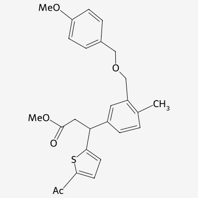 COC(=O)CC(c1ccc(C)c(COCc2ccc(OC)cc2)c1)c1ccc(C(C)=O)s1